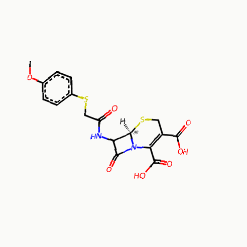 COc1ccc(SCC(=O)NC2C(=O)N3C(C(=O)O)=C(C(=O)O)CS[C@H]23)cc1